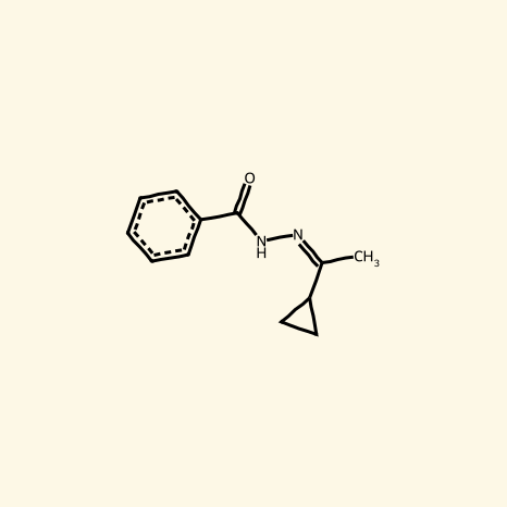 CC(=NNC(=O)c1ccccc1)C1CC1